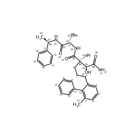 CCC[C@](CCCc1cccc(C)c1-c1ccccc1)(C(=O)N[C@H](C(=O)N[C@H](C)c1ccccc1)C(C)(C)C)[C@H](O)C(N)=O